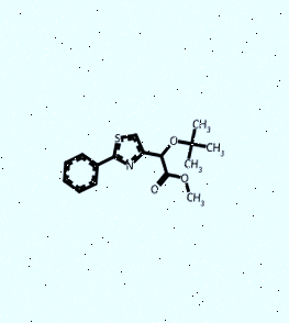 COC(=O)C(OC(C)(C)C)c1csc(-c2ccccc2)n1